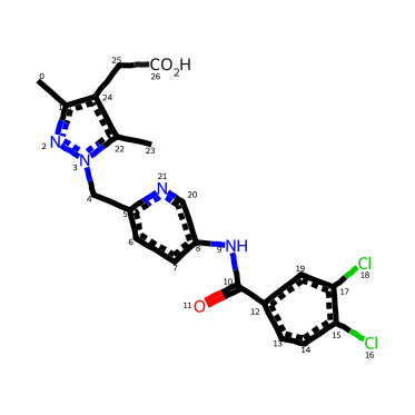 Cc1nn(Cc2ccc(NC(=O)c3ccc(Cl)c(Cl)c3)cn2)c(C)c1CC(=O)O